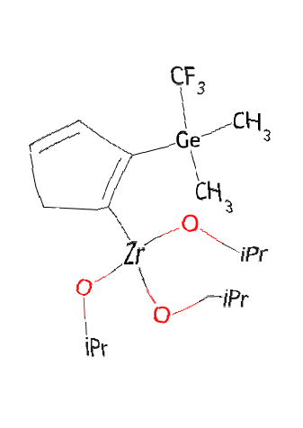 CC(C)[O][Zr]([O]C(C)C)([O]C(C)C)[C]1=[C]([Ge]([CH3])([CH3])[C](F)(F)F)C=CC1